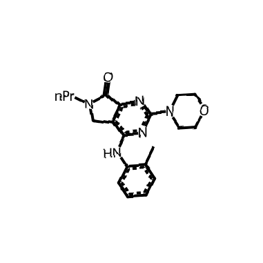 CCCN1Cc2c(Nc3ccccc3C)nc(N3CCOCC3)nc2C1=O